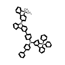 C[Si]1(C)c2ccccc2-c2cc(-n3c4ccccc4c4cc(-c5ccc(N(c6ccc(-c7ccccc7)cc6)c6ccc7c(c6)-c6ccccc6[Si]7(c6ccccc6)c6ccccc6)cc5)ccc43)ccc21